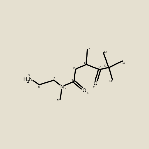 CC(CC(=O)N(C)CCN)C(=O)C(C)(C)C